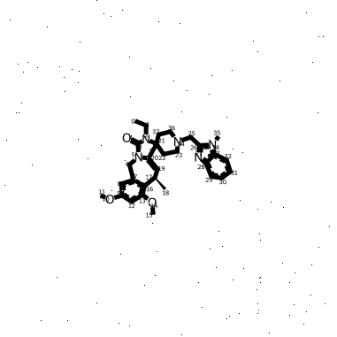 CCN1C(=O)N2Cc3cc(OC)cc(OC)c3[C@H](C)C=C2C12CCN(Cc1nc3ccccc3n1C)CC2